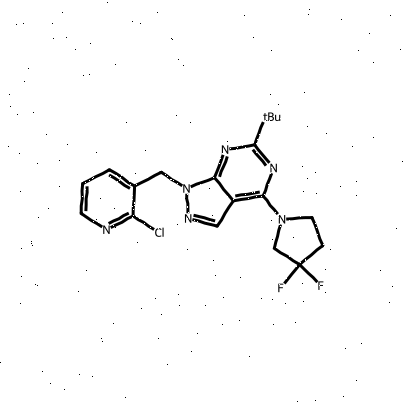 CC(C)(C)c1nc(N2CCC(F)(F)C2)c2cnn(Cc3cccnc3Cl)c2n1